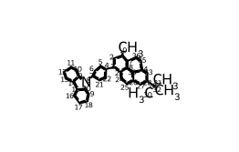 Cc1cc(-c2ccc(-n3c4ccccc4c4ccccc43)cc2)c2ccc3cc(C(C)(C)C)cc4ccc1c2c43